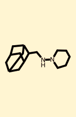 C1CCN(NCC2C3CC4CC(C3)CC2C4)CC1